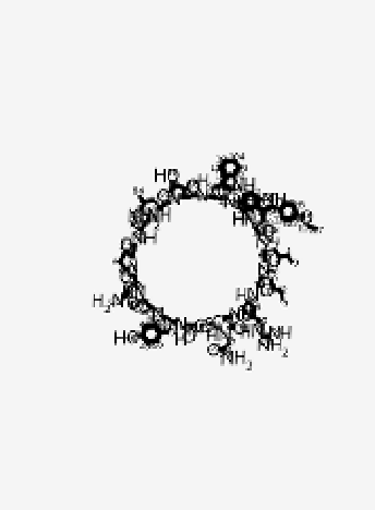 CCCC[C@H]1C(=O)N(C)[C@@H](CCCC)C(=O)NC(CCCNC(=N)N)C(=O)N[C@H](C(=O)NCC(N)=O)CSCC(=O)N[C@@H](Cc2ccc(O)cc2)C(=O)N(C)[C@@H](C)C(=O)N[C@@H](CC(N)=O)C(=O)N2CCCC2C(=O)N[C@@H](CN)C(=O)N[C@@H](CC(C)C)C(=O)N2C[C@H](O)CC2C(=O)N[C@@H](Cc2c[nH]c3ccccc23)C(=O)N[C@@H](CO)C(=O)N[C@@H](Cc2c(-c3ccc(OCC)cc3)[nH]c3ccccc23)C(=O)N1C